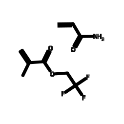 C=C(C)C(=O)OCC(F)(F)F.C=CC(N)=O